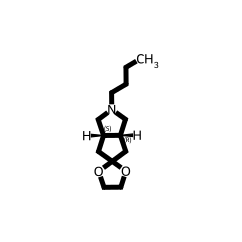 CCCCN1C[C@@H]2CC3(C[C@@H]2C1)OCCO3